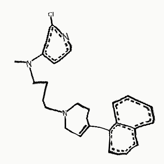 CN(CCCN1CC=C(c2cccc3ccccc23)CC1)c1ccnc(Cl)c1